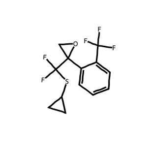 FC(F)(F)c1ccccc1C1(C(F)(F)SC2CC2)CO1